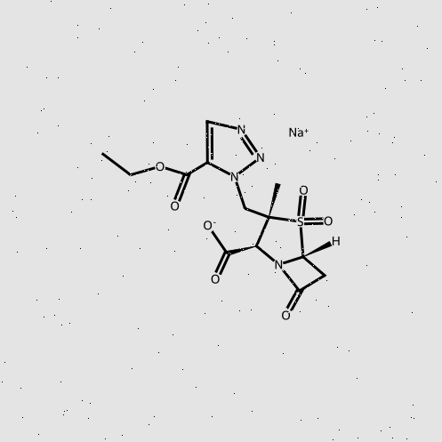 CCOC(=O)c1cnnn1C[C@@]1(C)[C@H](C(=O)[O-])N2C(=O)C[C@H]2S1(=O)=O.[Na+]